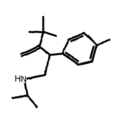 C=C(C(CNC(C)C)c1ccc(C)cc1)C(C)(C)C